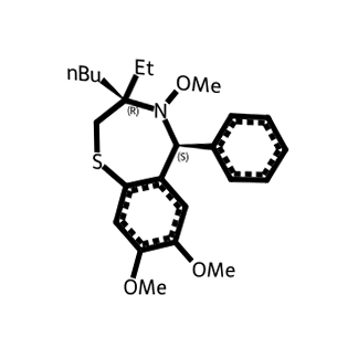 CCCC[C@]1(CC)CSc2cc(OC)c(OC)cc2[C@H](c2ccccc2)N1OC